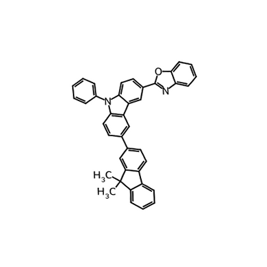 CC1(C)c2ccccc2-c2ccc(-c3ccc4c(c3)c3cc(-c5nc6ccccc6o5)ccc3n4-c3ccccc3)cc21